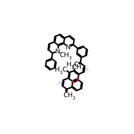 C=C(/C=C\c1ccc(/C=C\C(=C)c2cccc(-c3ccc4ccc5c(c4n3)N(C)C(c3ccccc3)C=C5)c2)c(C)c1C)c1ccccc1